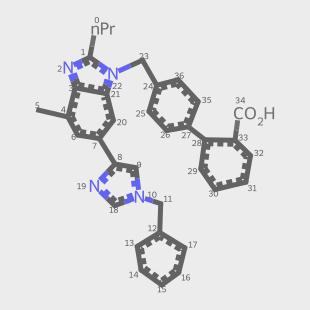 CCCc1nc2c(C)cc(-c3cn(Cc4ccccc4)cn3)cc2n1Cc1ccc(-c2ccccc2C(=O)O)cc1